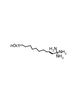 CCCCCCCCCCCCCCCCC=CC(N)(N)N